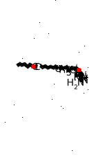 CCCCCCCCCCCCCCCCOCCC[PH](=S)CO[C@H](C)Cn1cnc2c(N)ncnc21